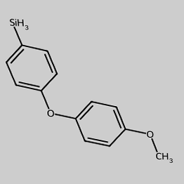 COc1ccc(Oc2ccc([SiH3])cc2)cc1